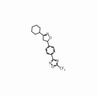 FC(F)(F)c1nc(-c2ccc(C3CC(C4CCCCC4)=NO3)cc2)no1